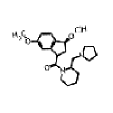 COc1ccc2c(c1)C(C(=O)N1CCCCC1CN1CCCC1)CC2=O.Cl